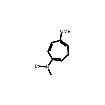 CCN(C)C1=CCC=C(OC)C=C1